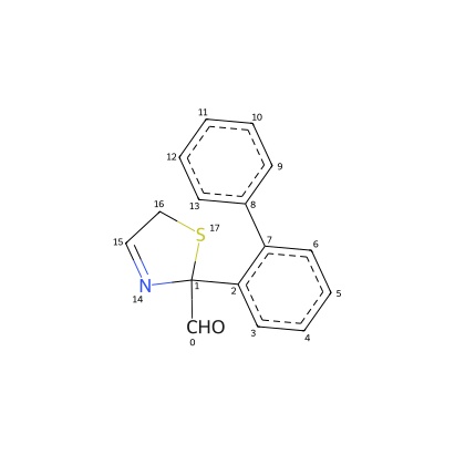 O=CC1(c2ccccc2-c2ccccc2)N=CCS1